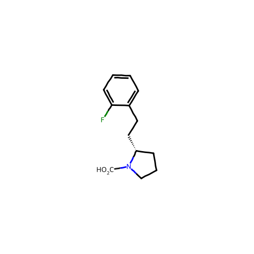 O=C(O)N1CCC[C@H]1CCc1ccccc1F